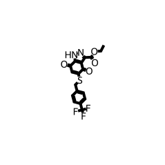 CCOC(=O)c1n[nH]c2c1C(=O)C(SCc1ccc(C(F)(F)F)cc1)=CC2=O